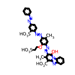 Cc1cc(N=Nc2c(C)c(C(=O)O)c3nc4ccccc4n3c2O)c(OCCS(=O)(=O)O)cc1N=Nc1ccc(N=Nc2ccccc2)cc1S(=O)(=O)O